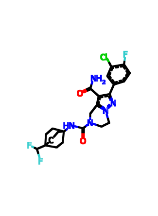 NC(=O)c1c(-c2ccc(F)c(Cl)c2)nn2c1CN(C(=O)NC13CCC(C(F)F)(CC1)CC3)CC2